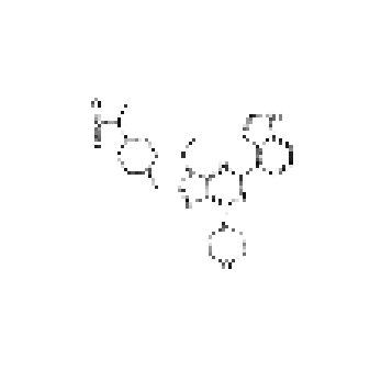 CCn1c(CN2CCC(N(C)S(C)(=O)=O)CC2)nc2c(N3CCOCC3)nc(-c3cccc4[nH]ccc34)nc21